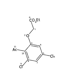 CCOC(=O)COc1cc(Cl)cc(Cl)c1C(C)=O